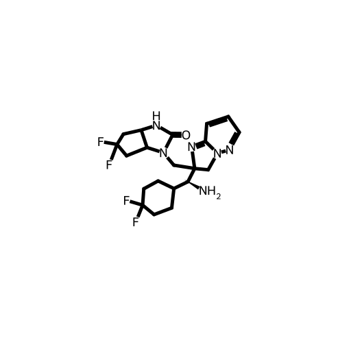 N[C@@H](C1CCC(F)(F)CC1)C1(CN2C(=O)NC3CC(F)(F)CC32)CN2N=CC=CC2=N1